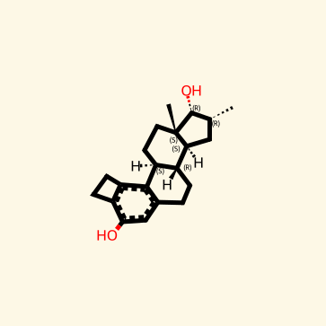 C[C@@H]1C[C@H]2[C@@H]3CCc4cc(O)c5c(c4[C@H]3CC[C@]2(C)[C@@H]1O)CC5